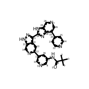 CC(C)(C)C(=O)Nc1cncc(-c2cc3c(-c4nc5c(-c6ccncc6)cncc5[nH]4)n[nH]c3cn2)c1